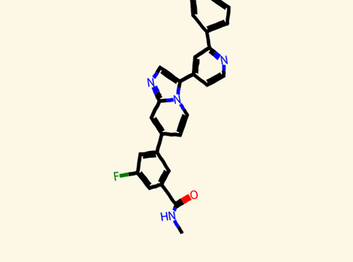 CNC(=O)c1cc(F)cc(-c2ccn3c(-c4ccnc(-c5ccccc5)c4)cnc3c2)c1